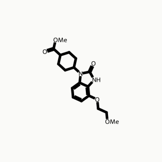 COCCOc1cccc2c1[nH]c(=O)n2C1CCC(C(=O)OC)CC1